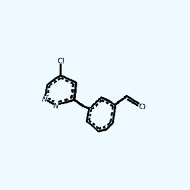 O=Cc1cccc(-c2cc(Cl)cnn2)c1